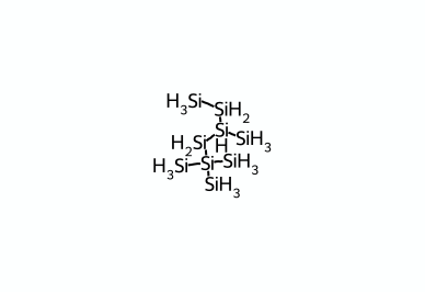 [SiH3][SiH2][SiH]([SiH3])[SiH2][Si]([SiH3])([SiH3])[SiH3]